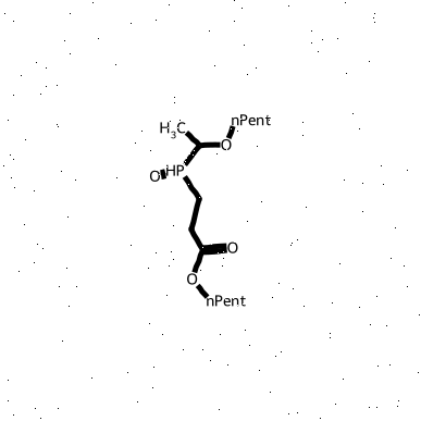 CCCCCOC(=O)CC[PH](=O)C(C)OCCCCC